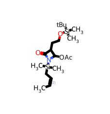 C/C=C\C[Si](C)(C)N1C(=O)C(CCO[Si](C)(C)C(C)(C)C)C1OC(C)=O